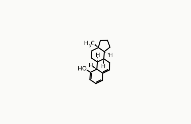 C[C@@]12CCC[C@H]1[C@@H]1CC=C3C=CC=C(O)[C@@H]3[C@H]1CC2